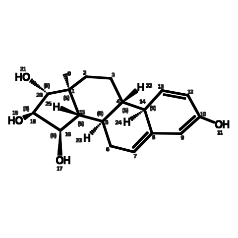 C[C@]12CC[C@H]3[C@@H](CC=C4C=C(O)C=C[C@@H]43)[C@@H]1[C@@H](O)[C@@H](O)[C@@H]2O